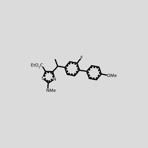 CCOC(=O)c1sc(NC)nc1C(C)c1ccc(-c2ccc(OC)cc2)c(F)c1